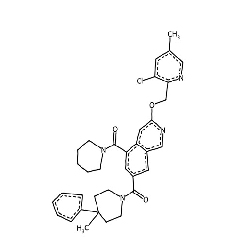 Cc1cnc(COc2cc3c(C(=O)N4CCCCC4)cc(C(=O)N4CCC(C)(c5ccccc5)CC4)cc3cn2)c(Cl)c1